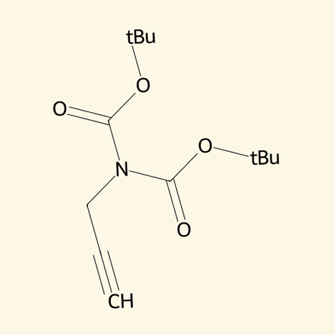 C#CCN(C(=O)OC(C)(C)C)C(=O)OC(C)(C)C